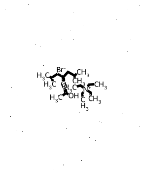 CC(=O)O.CC(C)CC(=O)CC(C)C.CC[N+](CC)(CC)CC.[Br-]